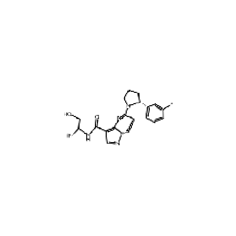 CC(C)C(CO)NC(=O)c1cnn2ccc(N3CCC[C@@H]3c3cncc(F)c3)nc12